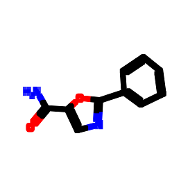 NC(=O)c1cnc(-c2ccccc2)o1